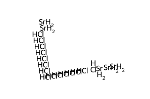 Cl.Cl.Cl.Cl.Cl.Cl.Cl.Cl.Cl.Cl.Cl.Cl.Cl.Cl.Cl.[SrH2].[SrH2].[SrH2].[SrH2].[SrH2]